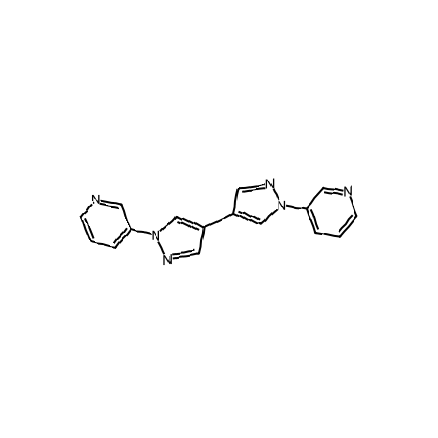 c1cncc(-n2cc(-c3cnn(-c4cccnc4)c3)cn2)c1